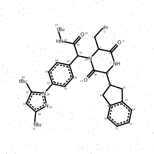 CC(C)CC1C(=O)NC(C2Cc3ccccc3C2)C(=O)N1C(C(=O)NC(C)(C)C)c1ccc(-n2nc(C(C)(C)C)cc2C(C)(C)C)cc1